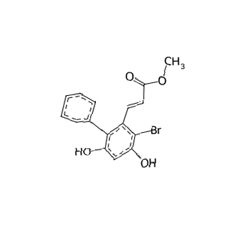 COC(=O)C=Cc1c(Br)c(O)cc(O)c1-c1ccccc1